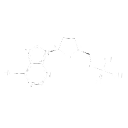 O=P(O)(O)OC[C@@H]1CC[C@H](n2cnc3c(O)ncnc32)O1